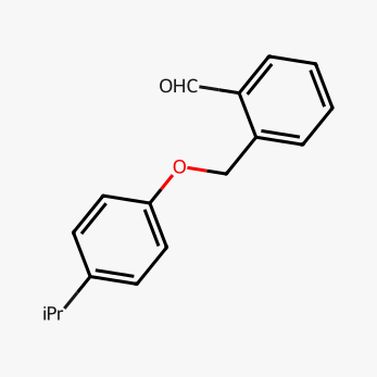 CC(C)c1ccc(OCc2ccccc2C=O)cc1